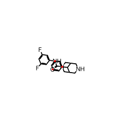 O=C(Nc1cc(F)cc(F)c1)N1CC2CNCC(C1)C2c1ccccc1